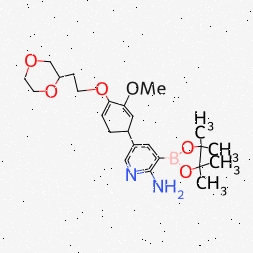 COC1=CC(c2cnc(N)c(B3OC(C)(C)C(C)(C)O3)c2)CC=C1OCCC1COCCO1